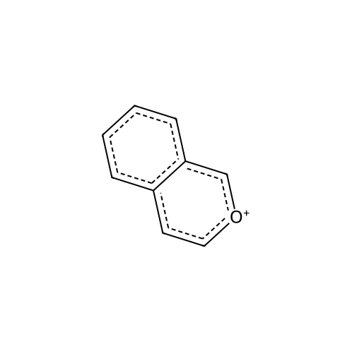 c1ccc2c[o+]ccc2c1